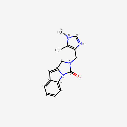 Cc1c(CN2Cc3cc4ccccc4n3C2=O)ncn1C